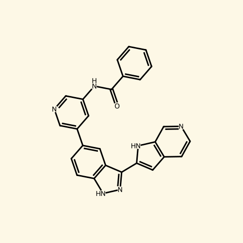 O=C(Nc1cncc(-c2ccc3[nH]nc(-c4cc5ccncc5[nH]4)c3c2)c1)c1ccccc1